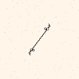 CCC(C)(C)C=COC(=O)CCCCCCCCCCCCCCCCCCCCC(=O)OC=CC(C)(C)CC